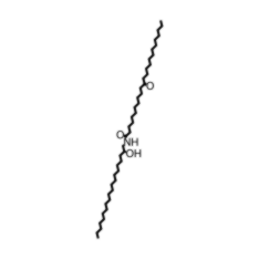 CCCCCCCCCCCCCCCCCCC(O)CNC(=O)CCCCCCCCCCC(=O)CCCCCCCCCCCCC